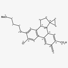 COCCCOc1cc2c(cc1Cl)C1=CC(=O)C(C(=O)O)=CC1N1C2CCC12CC2